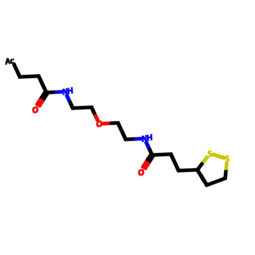 CC(=O)CCC(=O)NCCOCCNC(=O)CCC1CCSS1